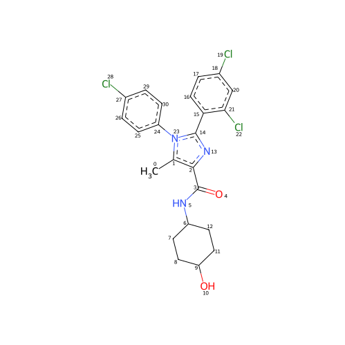 Cc1c(C(=O)NC2CCC(O)CC2)nc(-c2ccc(Cl)cc2Cl)n1-c1ccc(Cl)cc1